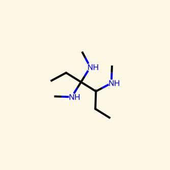 CC[C](NC)C(CC)(NC)NC